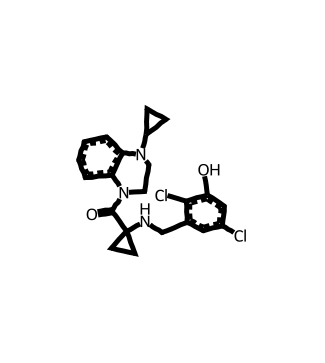 O=C(N1CCN(C2CC2)c2ccccc21)C1(NCc2cc(Cl)cc(O)c2Cl)CC1